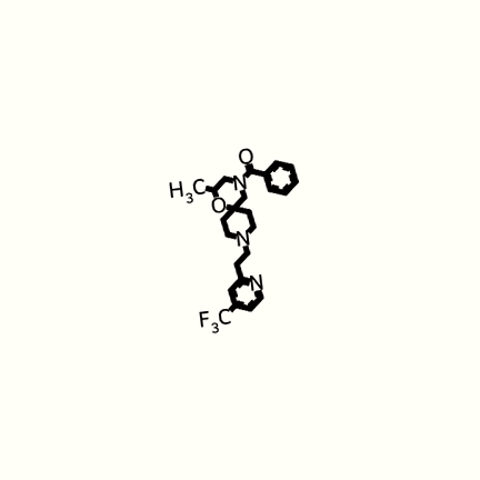 CC1CN(C(=O)c2ccccc2)CC2(CCN(CCc3cc(C(F)(F)F)ccn3)CC2)O1